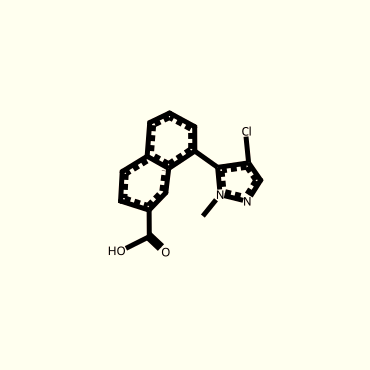 Cn1ncc(Cl)c1-c1cccc2ccc(C(=O)O)cc12